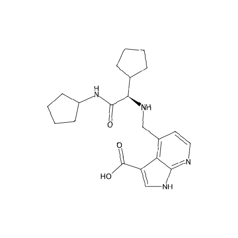 O=C(O)c1c[nH]c2nccc(CN[C@@H](C(=O)NC3CCCC3)C3CCCC3)c12